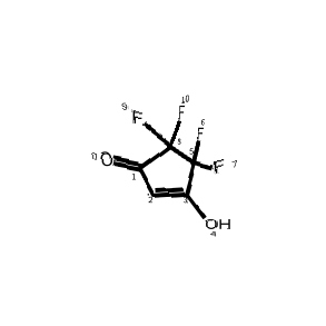 O=C1[C]=C(O)C(F)(F)C1(F)F